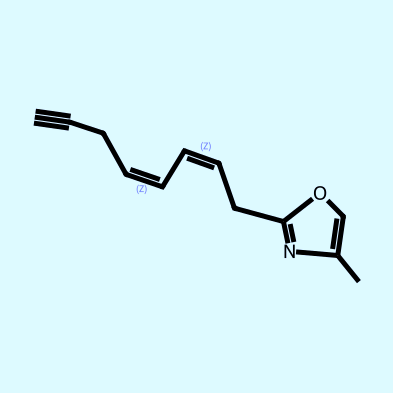 C#CC/C=C\C=C/Cc1nc(C)co1